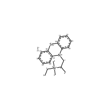 CC[N+](C)(C)C(C)CN1c2ccccc2Sc2ccccc21.[I-]